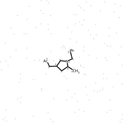 C[C](C)CN1CC(CC(C)=O)CC1C